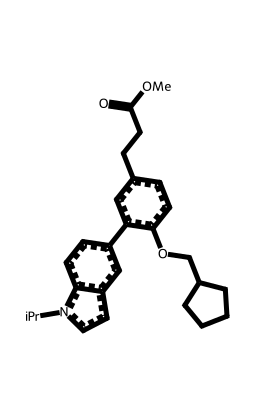 COC(=O)CCc1ccc(OCC2CCCC2)c(-c2ccc3c(ccn3C(C)C)c2)c1